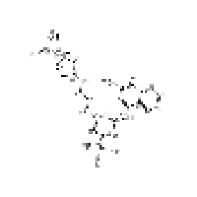 Cc1cc(Nc2cc(OCCCN3CC4CC3CN4C(=O)O)cc(C(F)(F)F)c2)c2ccccc2n1